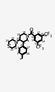 Cc1ccc(C2CN(C(=O)c3cc(C(F)(F)F)cc(C(F)(F)F)c3)CCC2N2CCSCC2)cc1